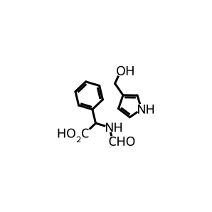 O=CNC(C(=O)O)c1ccccc1.OCc1cc[nH]c1